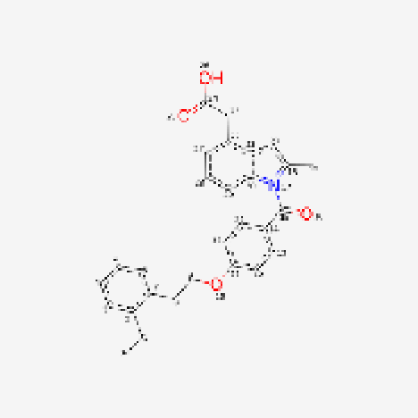 CCc1ccccc1CCOc1ccc(C(=O)n2c(C)cc3c(CC(=O)O)cccc32)cc1